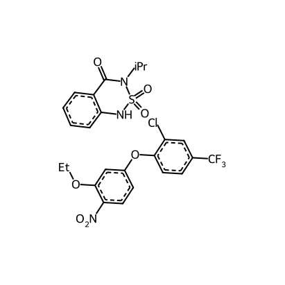 CC(C)N1C(=O)c2ccccc2NS1(=O)=O.CCOc1cc(Oc2ccc(C(F)(F)F)cc2Cl)ccc1[N+](=O)[O-]